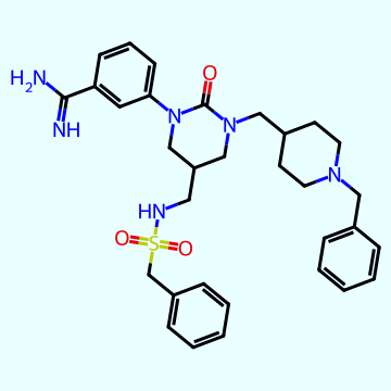 N=C(N)c1cccc(N2CC(CNS(=O)(=O)Cc3ccccc3)CN(CC3CCN(Cc4ccccc4)CC3)C2=O)c1